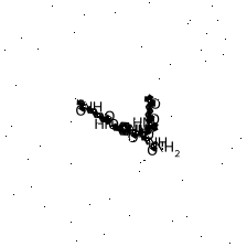 CCC(=O)NCCCCCC(=O)NOCc1ccc(NC(=O)[C@H](CCCNC(N)=O)NC(=O)[C@@H](NC(=O)CCCC(=O)C(C)C)C(C)C)cc1